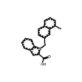 Cc1cccc2ccc(Cn3c(C(=O)O)cc4ccccc43)cc12